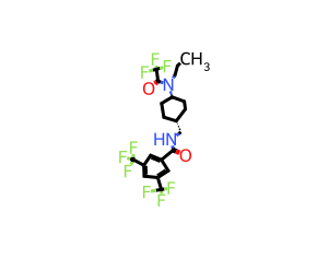 CCCN(C(=O)C(F)(F)F)[C@H]1CC[C@H](CNC(=O)c2cc(C(F)(F)F)cc(C(F)(F)F)c2)CC1